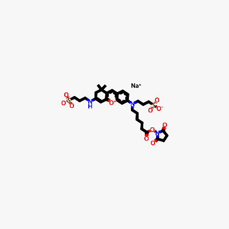 CC1(C)CC(NCCCS(=O)(=O)[O-])=Cc2[o+]c3cc(N(CCCCCC(=O)ON4C(=O)CCC4=O)CCCS(=O)(=O)[O-])ccc3cc21.[Na+]